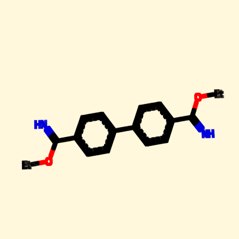 CCOC(=N)c1ccc(-c2ccc(C(=N)OCC)cc2)cc1